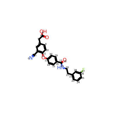 N#Cc1cc(CC(=O)O)ccc1Oc1ccc(C(=O)NCCc2cccc(F)c2)cc1